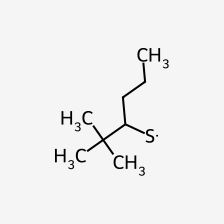 CCCC([S])C(C)(C)C